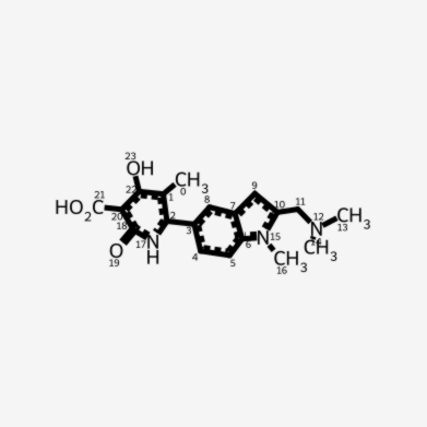 Cc1c(-c2ccc3c(c2)cc(CN(C)C)n3C)[nH]c(=O)c(C(=O)O)c1O